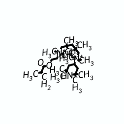 C=C(C)C(=O)OCC[N+](C)(C)CC(C)(C)CC(C)(C)C[N+](C)(C)C1CC(C)(C)NC(C)(C)C1